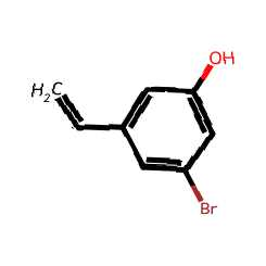 C=[C]c1cc(O)cc(Br)c1